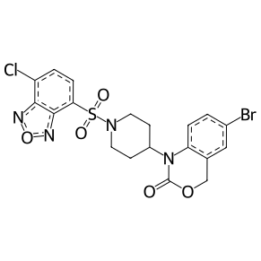 O=C1OCc2cc(Br)ccc2N1C1CCN(S(=O)(=O)c2ccc(Cl)c3nonc23)CC1